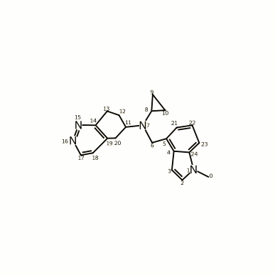 Cn1ccc2c(CN(C3CC3)C3CCc4nnccc4C3)cccc21